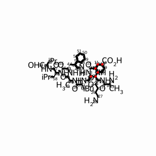 CC[C@H](C)[C@H](NC(=O)[C@H](Cc1ccccc1)NC(=O)[C@H](CCC(=O)O)NC(=O)[C@H](CCCCN)NC(=O)[C@H](C)N)C(=O)N[C@@H](C)C(=O)N[C@@H](Cc1c[nH]c2ccccc12)C(=O)N[C@@H](CC(C)C)C(=O)N[C@H]([C]=O)C(C)C